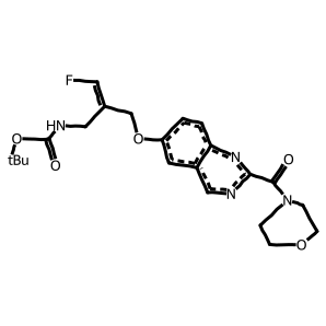 CC(C)(C)OC(=O)NC/C(=C\F)COc1ccc2nc(C(=O)N3CCOCC3)ncc2c1